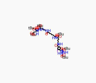 CC(C)(C)OC(=O)CC[C@H](NC(=O)N[C@@H](CCCCNC(=O)CCCCCCC(=O)NC(CCCCNC(=O)c1ccc(CN(C(=N)NC(=O)OC(C)(C)C)C(=O)OC(C)(C)C)c(I)c1)C(=O)OC(C)(C)C)C(=O)OC(C)(C)C)C(=O)OC(C)(C)C